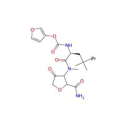 CC(C)C(C)(C)C[C@H](NC(=O)Oc1ccoc1)C(=O)N(C)C1C(=O)COC1C(N)=O